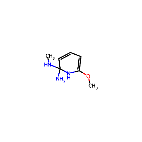 CNC1(N)C=CC=C(OC)N1